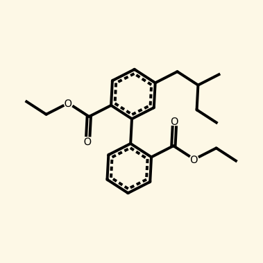 CCOC(=O)c1ccccc1-c1cc(CC(C)CC)ccc1C(=O)OCC